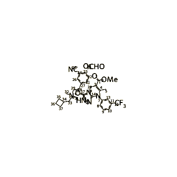 COC(=O)C1=C(C)N(c2cccc(C(F)(F)F)c2)c2n[nH]c(=O)n2[C@@H]1c1ccc(C#N)cc1CC[N+](C)(C)CC1CCC1.O=C[O-]